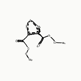 CC(C)(C)OOC(=O)c1nsnc1C(=O)OOC(C)(C)C